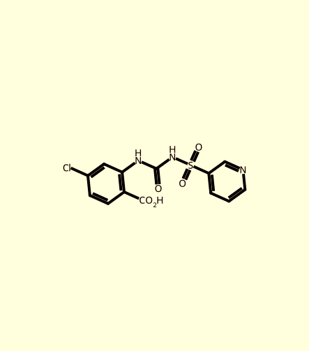 O=C(Nc1cc(Cl)ccc1C(=O)O)NS(=O)(=O)c1cccnc1